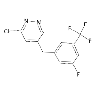 Fc1cc(Cc2cnnc(Cl)c2)cc(C(F)(F)F)c1